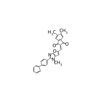 Cc1cc2c(cc1C)C(=O)C(=Cc1cc3c(nc(-c4ccc(-c5ccccc5)cc4)n3C)o1)C2=O